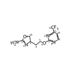 NC1=NC(CCOc2nccc(C(F)(F)F)n2)CO1